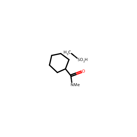 CNC(=O)C1CCCCC1.CS(=O)(=O)O